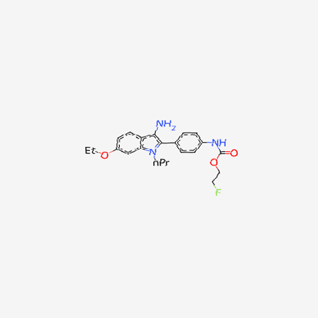 CCCn1c(-c2ccc(NC(=O)OCCF)cc2)c(N)c2ccc(OCC)cc21